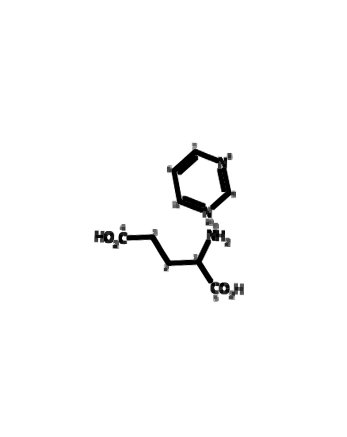 NC(CCC(=O)O)C(=O)O.c1cncnc1